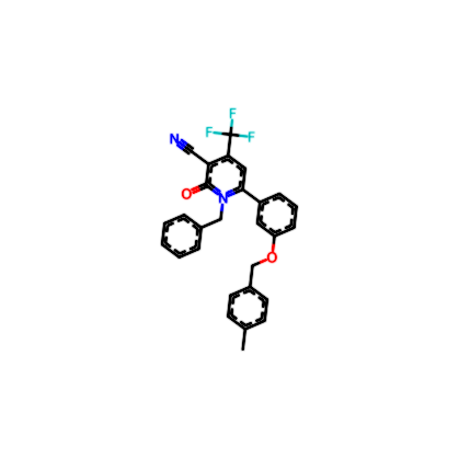 Cc1ccc(COc2cccc(-c3cc(C(F)(F)F)c(C#N)c(=O)n3Cc3ccccc3)c2)cc1